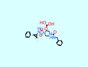 C[C@H]1[C@H](NS(=O)(=O)N2CCN(C(=O)NCc3ccccc3)CC2)[C@H]1c1ccccc1.O=C(O)O